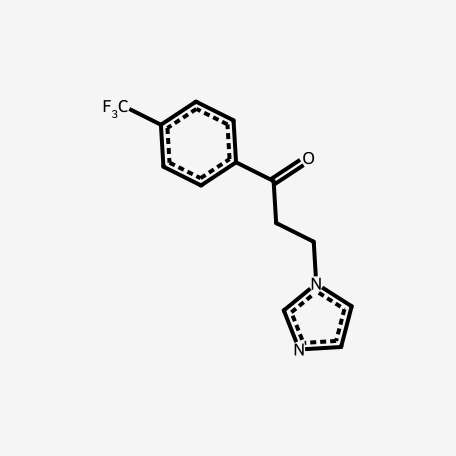 O=C(CCn1ccnc1)c1ccc(C(F)(F)F)cc1